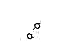 Nc1cc(O)ccc1NCc1ccc(Br)cc1